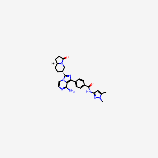 Cc1cc(NC(=O)c2ccc(-c3nc([C@@H]4CC[C@H]5CCC(=O)N5C4)n4ccnc(N)c34)cc2)nn1C